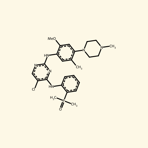 COc1cc(N2CCN(C)CC2)c(C)cc1Nc1ncc(Cl)c(Nc2ccccc2P(C)(C)=O)n1